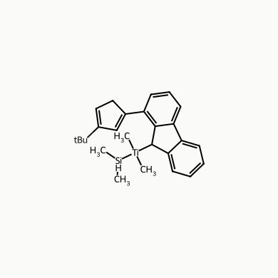 C[SiH](C)[Ti]([CH3])([CH3])[CH]1c2ccccc2-c2cccc(C3=CC(C(C)(C)C)=CC3)c21